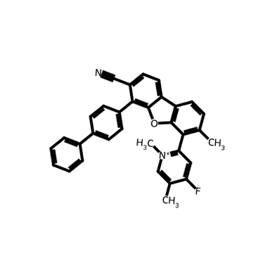 Cc1c[n+](C)c(-c2c(C)ccc3c2oc2c(-c4ccc(-c5ccccc5)cc4)c(C#N)ccc23)cc1F